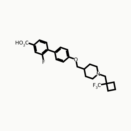 O=C(O)c1ccc(-c2ccc(OCC3CCN(CC4(C(F)(F)F)CCC4)CC3)cc2)c(F)c1